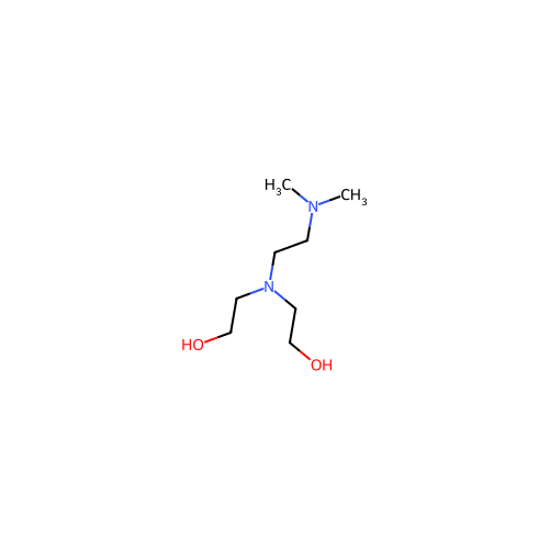 CN(C)CCN(CCO)CCO